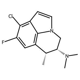 C[C@@H]1c2cc(F)c(Cl)c3ccn(c23)C[C@@H]1N(C)C